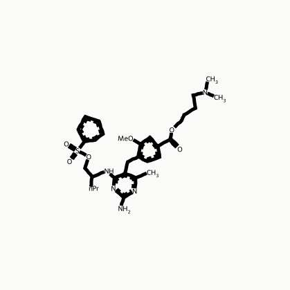 CCCC(COS(=O)(=O)c1ccccc1)Nc1nc(N)nc(C)c1Cc1ccc(C(=O)OCCCCN(C)C)cc1OC